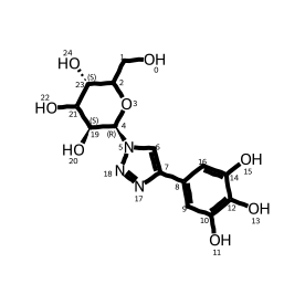 OCC1O[C@@H](n2cc(-c3cc(O)c(O)c(O)c3)nn2)[C@@H](O)C(O)[C@@H]1O